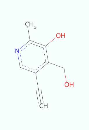 C#Cc1cnc(C)c(O)c1CO